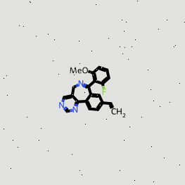 C=Cc1ccc2c(c1)C(c1c(F)cccc1OC)=NCc1cncnc1-2